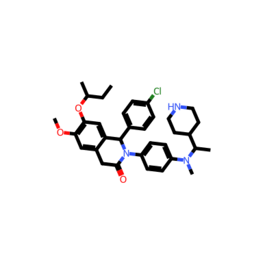 CCC(C)Oc1cc2c(cc1OC)CC(=O)N(c1ccc(N(C)C(C)C3CCNCC3)cc1)C2c1ccc(Cl)cc1